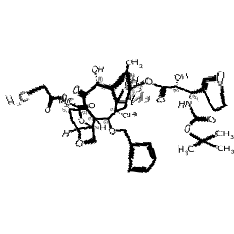 CCC(=O)O[C@H]1C[C@H]2OC[C@@]2(OC(C)=O)[C@H]2[C@H](OCc3ccccc3)[C@]3(O)C[C@H](OC(=O)[C@H](O)[C@@H](NC(=O)OC(C)(C)C)C4=COCC4)C(C)=C([C@@H](O)C(=O)[C@]12C)C3(C)C